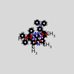 Cc1ccc2c(c1)c1cc(C)ccc1n2-c1c(-n2c3ccccc3c3cc(N(c4ccccc4)c4ccccc4)ccc32)nc(-n2c3ccccc3c3cc(N(c4ccccc4)c4ccccc4)ccc32)c(-n2c3ccc(C)cc3c3cc(C)ccc32)c1-c1ccncc1